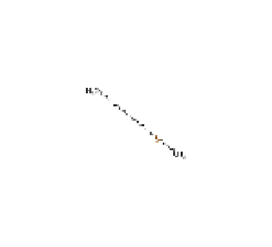 CCCCCCCCCCCCCCCCCCCCSCCCCCC